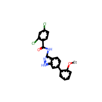 CCOc1ccccc1-c1ccc2c(NC(=O)c3ccc(Cl)cc3Cl)n[nH]c2c1